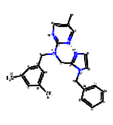 Cc1cnc(N(Cc2cc(C(F)(F)F)cc(C(F)(F)F)c2)Cc2nccn2Cc2ccccc2)nc1